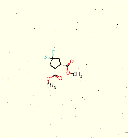 COC(=O)[C@H]1CC(F)(F)C[C@H]1C(=O)OC